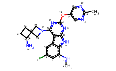 CNc1cc(F)cc2c1[nH]c1nc(Oc3cnc(C)nc3)nc(N3CC4(CC[C@@H]4N)C3)c12